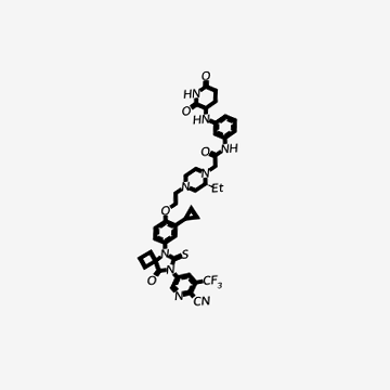 CC[C@@H]1CN(CCOc2ccc(N3C(=S)N(c4cnc(C#N)c(C(F)(F)F)c4)C(=O)C34CCC4)cc2C2CC2)CCN1CC(=O)Nc1cccc(NC2CCC(=O)NC2=O)c1